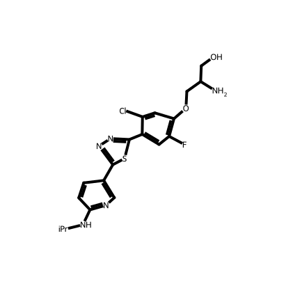 CC(C)Nc1ccc(-c2nnc(-c3cc(F)c(OCC(N)CO)cc3Cl)s2)cn1